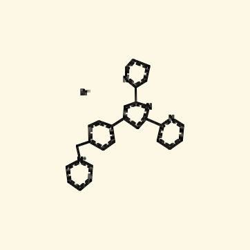 [Br-].c1cc[n+](Cc2ccc(-c3cc(-c4ccccn4)nc(-c4ccccn4)c3)cc2)cc1